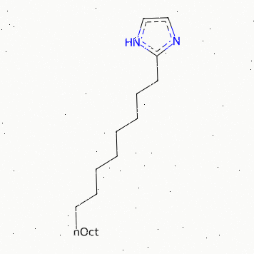 CCCCCCCCCCCCCCCCc1ncc[nH]1